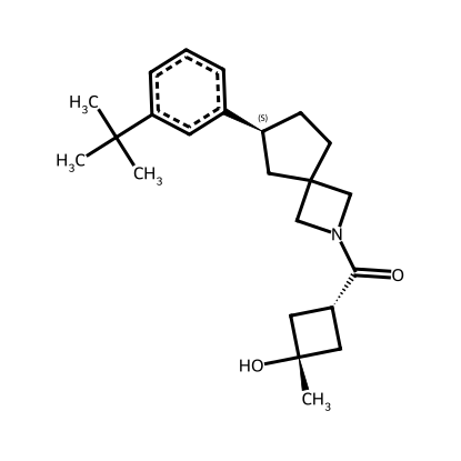 CC(C)(C)c1cccc([C@H]2CCC3(C2)CN(C(=O)[C@H]2C[C@@](C)(O)C2)C3)c1